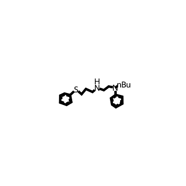 CCCCN(CCNCCCSc1ccccc1)c1ccccc1